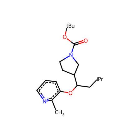 Cc1ncccc1OC(CC(C)C)C1CCN(C(=O)OC(C)(C)C)C1